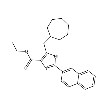 CCOC(=O)c1nc(-c2ccc3ccccc3c2)[nH]c1CC1CCCCCC1